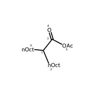 CCCCCCCCC(CCCCCCCC)C(=O)OC(C)=O